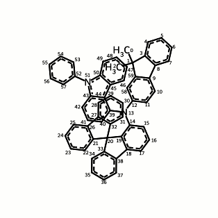 CC1(C)c2ccccc2-c2ccc(N(c3cccc4c3C3(c5ccccc5-c5ccccc53)c3ccccc3-4)c3cccc4c3c3ccccc3n4-c3ccccc3)cc21